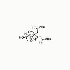 CCCCC(CC)CO[C@@]1(CC(CC)CCCC)CO[C@@H]2[C@H](O)CO[C@@H]21